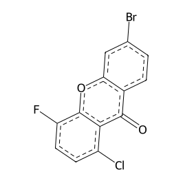 O=c1c2ccc(Br)cc2oc2c(F)ccc(Cl)c12